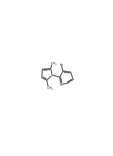 Cc1ccc(C)n1-c1ncccc1Br